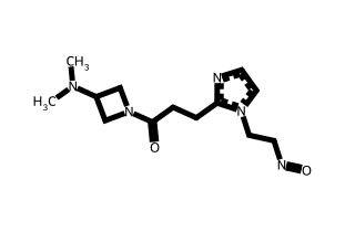 CN(C)C1CN(C(=O)CCc2nccn2CCN=O)C1